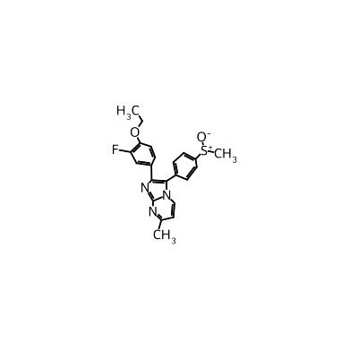 CCOc1ccc(-c2nc3nc(C)ccn3c2-c2ccc([S+](C)[O-])cc2)cc1F